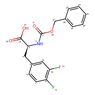 O=C(N[C@@H](Cc1ccc(F)c(F)c1)C(=O)O)OCc1ccccc1